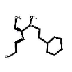 C/C=C(/C=CCC(C)C)N(C)CCC1CCCCC1